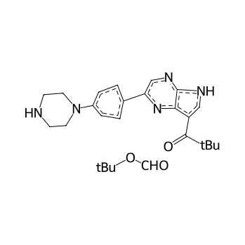 CC(C)(C)C(=O)c1c[nH]c2ncc(-c3ccc(N4CCNCC4)cc3)nc12.CC(C)(C)OC=O